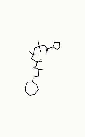 CC(CSC1CCCCCCC1)NC(=O)CC(C)(C)CC(C)(C)CC(=O)C1CCCC1